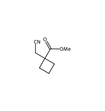 COC(=O)C1(CC#N)CCC1